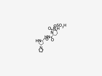 O=C(NOC[C@H]1C[C@H](n2cccc2)CN1)[C@@H]1CC[C@@H]2CN1C(=O)N2OS(=O)(=O)O